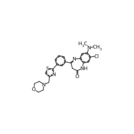 CN(C)c1cc2c(cc1Cl)NC(=O)CC(c1cccc(-c3nc(CN4CCOCC4)cs3)c1)=N2